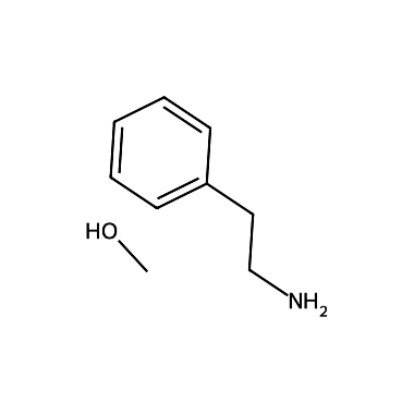 CO.NCCc1ccccc1